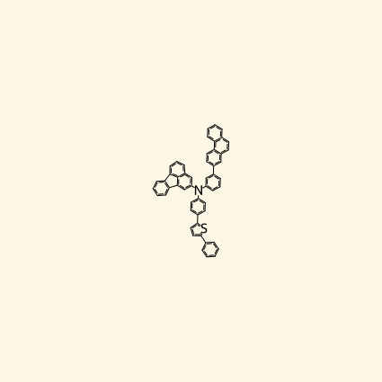 c1ccc(-c2ccc(-c3ccc(N(c4cccc(-c5ccc6c(ccc7ccccc76)c5)c4)c4cc5c6c(cccc6c4)-c4ccccc4-5)cc3)s2)cc1